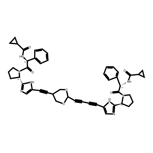 O=C(N[C@H](C(=O)N1CCC[C@H]1c1ncc(C#CC#CC2OCC(C#Cc3cnc([C@@H]4CCCN4C(=O)[C@@H](NC(=O)C4CC4)c4ccccc4)[nH]3)CO2)[nH]1)c1ccccc1)C1CC1